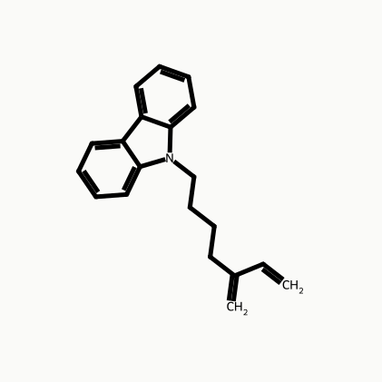 C=CC(=C)CCCCn1c2ccccc2c2ccccc21